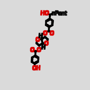 CCCCCC(O)c1ccc(C(=O)O[C@@H]2CO[C@H]3[C@@H]2OC[C@H]3OC(=O)c2ccc(O)cc2)cc1